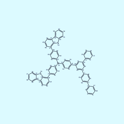 c1ccc(-c2ccc(-c3cc(-c4ccccc4)cc(-c4ccc(N(c5ccc(-c6cccc7c6sc6ccccc67)cc5)c5ccc(-c6cccc7c6sc6ccccc67)cc5)cc4)c3)cc2)cc1